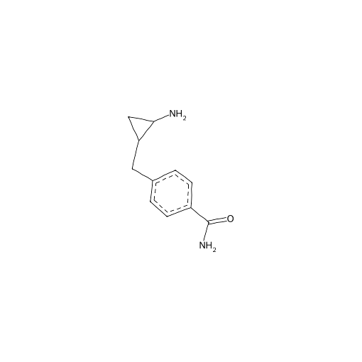 NC(=O)c1ccc(CC2CC2N)cc1